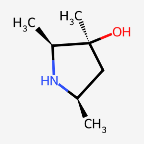 C[C@@H]1C[C@](C)(O)[C@H](C)N1